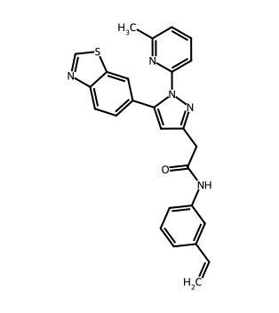 C=Cc1cccc(NC(=O)Cc2cc(-c3ccc4ncsc4c3)n(-c3cccc(C)n3)n2)c1